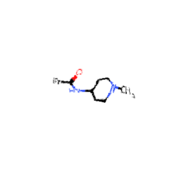 CC(C)C(=O)NC1CCN(C)CC1